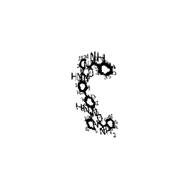 NC(C(=O)N1CCC[C@H]1c1nc2ccc(-c3ccc4[nH]c([C@@H]5CCCN5C(=O)[C@H](N)c5ccccc5)nc4c3)cc2[nH]1)c1ccccc1